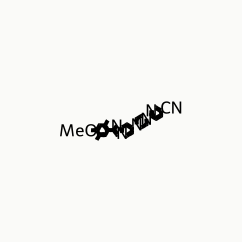 COc1cc(C)c(-c2cn3ccc(N4CCN(c5ccc(C#N)cn5)CC4)cc3n2)cc1C